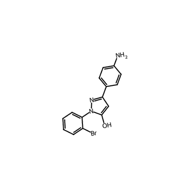 Nc1ccc(-c2cc(O)n(-c3ccccc3Br)n2)cc1